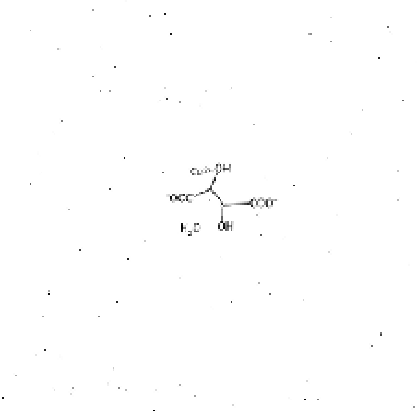 O.O=C([O-])C(O)C(O)C(=O)[O-].[Cu+2]